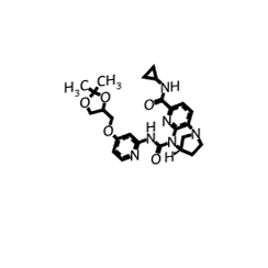 CC1(C)OCC(COc2ccnc(NC(=O)N3c4nc(C(=O)NC5CC5)ccc4N4CC[C@H]3C4)c2)O1